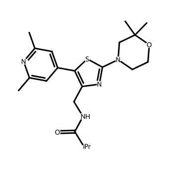 Cc1cc(-c2sc(N3CCOC(C)(C)C3)nc2CNC(=O)C(C)C)cc(C)n1